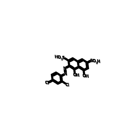 O=S(=O)(O)c1cc(O)c2c(O)c(/N=N/c3ccc(Cl)cc3Cl)c(S(=O)(=O)O)cc2c1